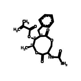 BC(=O)NC1COC(=O)[C@H](Cc2ccccc2)[C@@H](OC(=O)C(=C)C)[C@H](C)OC1=O